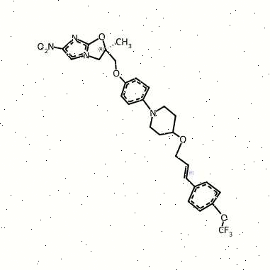 C[C@]1(COc2ccc(N3CCC(OC/C=C/c4ccc(OC(F)(F)F)cc4)CC3)cc2)Cn2cc([N+](=O)[O-])nc2O1